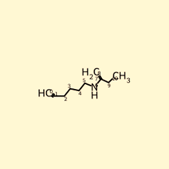 C#CCCCCNC(=C)CC